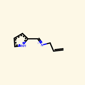 C=CC/N=C/c1ccc[nH]1